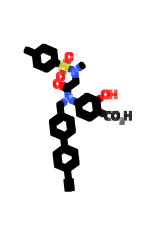 C#Cc1ccc(-c2ccc(CN(C(=O)CN(C)S(=O)(=O)c3ccc(C)cc3)c3ccc(C(=O)O)c(O)c3)cc2)cc1